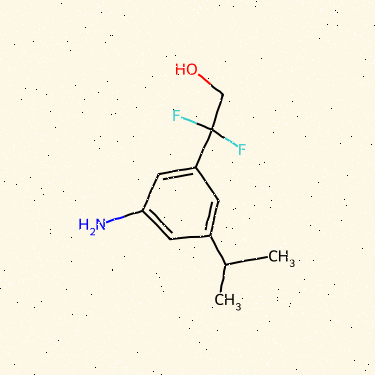 CC(C)c1cc(N)cc(C(F)(F)CO)c1